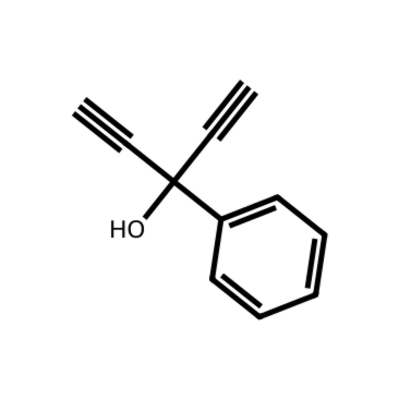 C#CC(O)(C#C)c1ccccc1